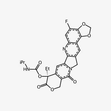 CC[C@@]1(OC(=O)NC(C)C)C(=O)OCc2c1cc1n(c2=O)Cc2cc3c4c(c(F)cc3nc2-1)OCO4